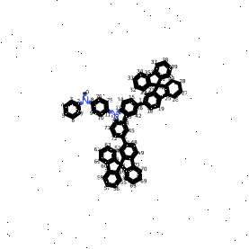 CN(c1ccccc1)c1ccc(-n2c3ccc(-c4ccc5c(c4)C4(C6=C5C=CCC6)c5ccccc5-c5ccccc54)cc3c3cc(-c4ccc5c(c4)C4(c6ccccc6-c6ccccc64)c4ccccc4-5)ccc32)cc1